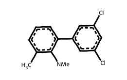 CNc1c(C)cccc1-c1cc(Cl)cc(Cl)c1